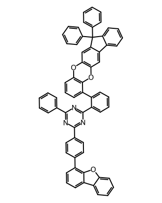 c1ccc(-c2nc(-c3ccc(-c4cccc5c4oc4ccccc45)cc3)nc(-c3ccccc3-c3cccc4c3Oc3cc5c(cc3O4)C(c3ccccc3)(c3ccccc3)c3ccccc3-5)n2)cc1